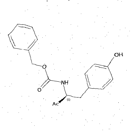 CC(=O)[C@H](Cc1ccc(O)cc1)NC(=O)OCc1ccccc1